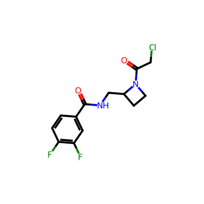 O=C(NCC1CCN1C(=O)CCl)c1ccc(F)c(F)c1